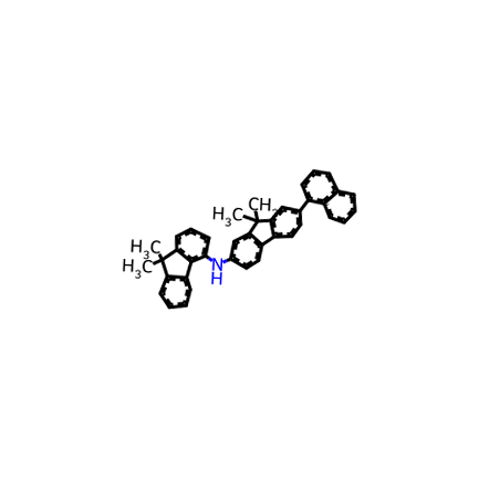 CC1(C)c2cc(Nc3cccc4c3-c3ccccc3C4(C)C)ccc2-c2ccc(-c3cccc4ccccc34)cc21